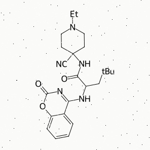 CCN1CCC(C#N)(NC(=O)C(CC(C)(C)C)Nc2nc(=O)oc3ccccc23)CC1